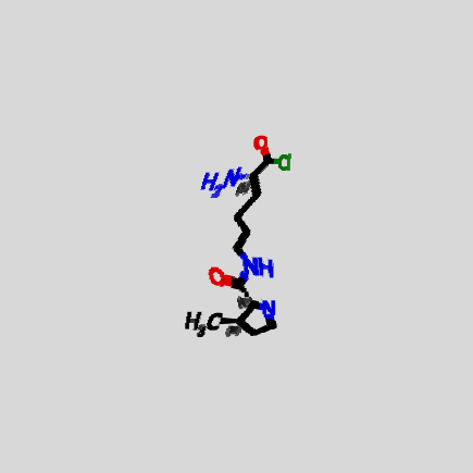 C[C@@H]1CC=N[C@H]1C(=O)NCCCC[C@H](N)C(=O)Cl